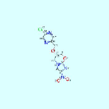 O=[N+]([O-])c1cn2c(n1)OC[C@@H](OCc1cnc(Cl)cn1)C2